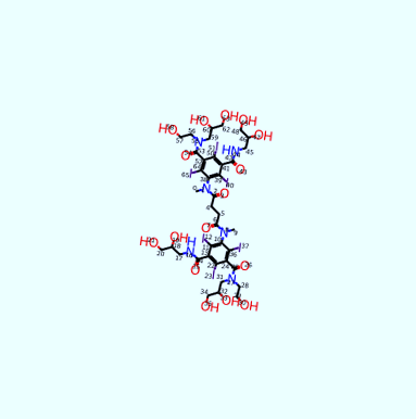 CN(C(=O)CCC(=O)N(C)c1c(I)c(C(=O)NCC(O)CO)c(I)c(C(=O)N(CCO)CC(O)CO)c1I)c1c(I)c(C(=O)NCC(O)CO)c(I)c(C(=O)N(CCO)CC(O)CO)c1I